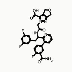 NC(=O)c1cc(-c2cccnc2C(Cc2cc(F)cc(F)c2)NC(=O)Cn2nc3c(c2C(=O)O)COC3)ccc1F